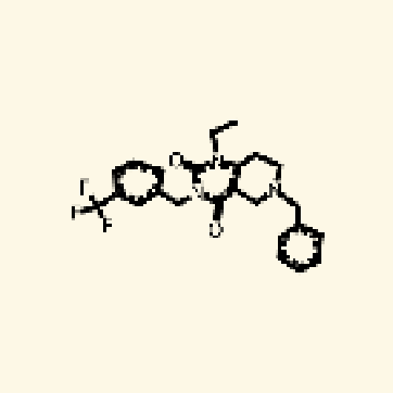 CCn1c2c(c(=O)n(Cc3cccc(C(F)(F)F)c3)c1=O)CN(Cc1ccccc1)CC2